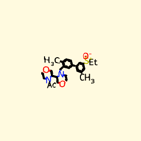 CC[S+]([O-])c1cc(C)cc(-c2ccc(C)c(CN3CCOCC3C3COCCN3C(C)=O)c2)c1